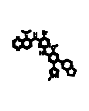 COc1cc(N2CCN3CCCC3C2)c(-c2cnn(C)c2)cc1Nc1ncc(Br)c(Nc2ccc3nccnc3c2P(C)C)n1